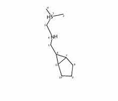 C[SH](C)CNCC1C2CCCC21